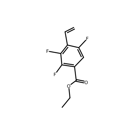 C=Cc1c(F)cc(C(=O)OCC)c(F)c1F